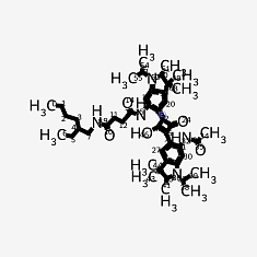 CCCCC(CC)CNC(=O)CCC(=O)Nc1cc2c(c/c1=C1\C(=O)C(c3cc4c(cc3NC(C)=O)N(C(C)C)C(C)C4(C)C)=C1O)C(C)(C)C(C)[N+]=2C(C)C